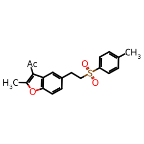 CC(=O)c1c(C)oc2ccc(CCS(=O)(=O)c3ccc(C)cc3)cc12